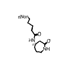 CCCCCCCCCCCCCC(=O)N[C@H]1CCCNC(=O)C1